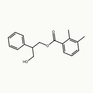 Cc1cccc(C(=O)OCC(CO)c2ccccc2)c1C